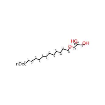 CCCCCCCCCCCCCCCCCCCCCCOCC(O)CO